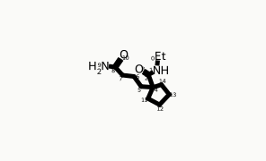 CCNC(=O)C1(CCCC(N)=O)CCCC1